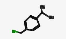 CCC(C)C(C#N)c1ccc(CBr)cc1